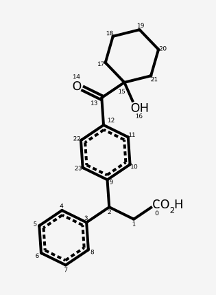 O=C(O)CC(c1ccccc1)c1ccc(C(=O)C2(O)CCCCC2)cc1